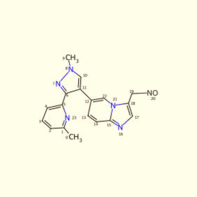 Cc1cccc(-c2nn(C)cc2-c2ccc3ncc(CN=O)n3c2)n1